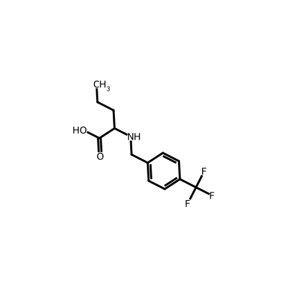 CCCC(NCc1ccc(C(F)(F)F)cc1)C(=O)O